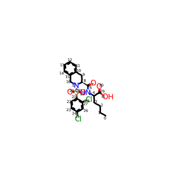 CCCCC(NC(=O)[C@@H]1Cc2ccccc2CN1S(=O)(=O)c1ccc(Cl)cc1Cl)C(=O)O